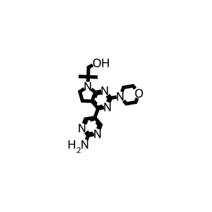 CC(C)(CO)N1CCc2c(-c3cnc(N)nc3)nc(N3CCOCC3)nc21